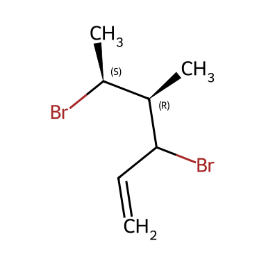 C=CC(Br)[C@H](C)[C@H](C)Br